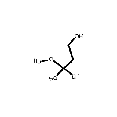 OCCC(O)(O)OO